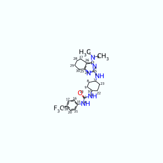 CN(C)c1nc(NC2CCC(NC(=O)Nc3ccc(C(F)(F)F)cc3)CC2)nc2c1CCCC2